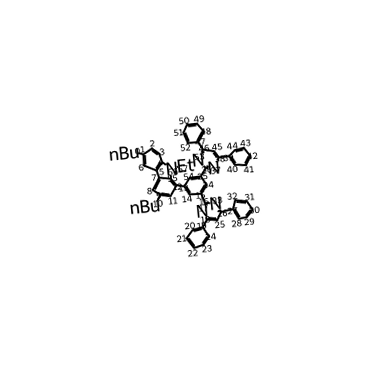 CCCCc1ccc2c(c1)c1cc(CCCC)cc(-c3cc(-c4nc(-c5ccccc5)cc(-c5ccccc5)n4)cc(-c4nc(-c5ccccc5)cc(-c5ccccc5)n4)c3)c1n2CC